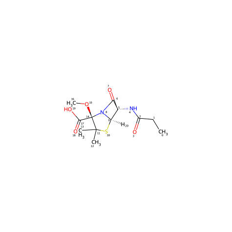 CCC(=O)N[C@H]1C(=O)N2[C@@H]1SC(C)(C)[C@]2(OC)C(=O)O